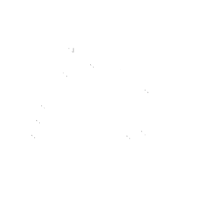 Cc1cc2cc(n1)-c1cnn(C)c1OCCCC(N=[N+]=[N-])CN1/C(=N/C2=O)Nc2ccccc21